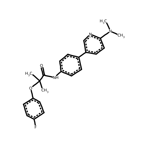 CN(C)c1ccc(-c2ccc(NC(=O)C(C)(C)Oc3ccc(F)cc3)cc2)cn1